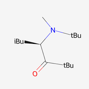 CCC(C)[C@H](C(=O)C(C)(C)C)N(C)C(C)(C)C